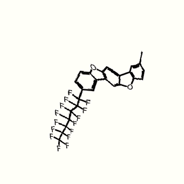 Cc1ccc2oc3cc4c(cc3c2c1)oc1ccc(C(F)(F)C(F)(F)C(F)(F)C(F)(F)C(F)(F)C(F)(F)C(F)(F)F)cc14